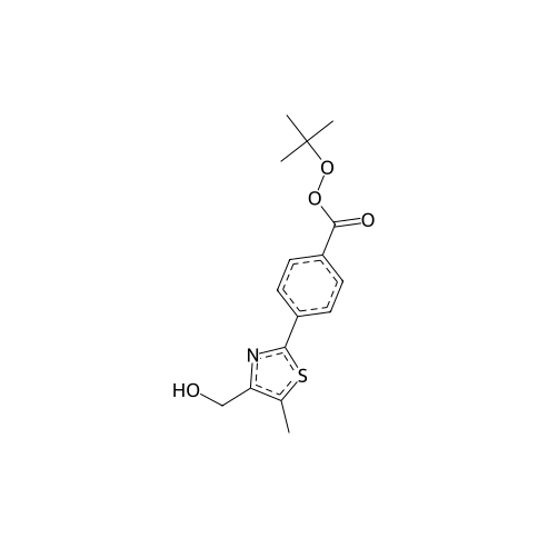 Cc1sc(-c2ccc(C(=O)OOC(C)(C)C)cc2)nc1CO